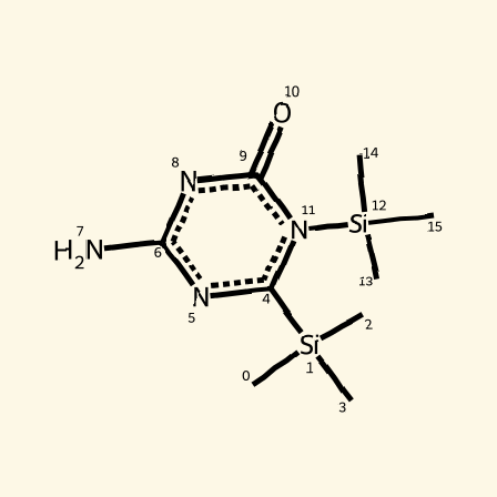 C[Si](C)(C)c1nc(N)nc(=O)n1[Si](C)(C)C